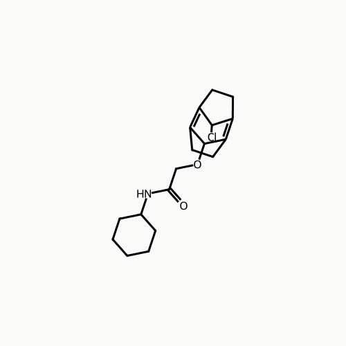 O=C(COC1C2=C3CCC(=C1CC2)C3Cl)NC1CCCCC1